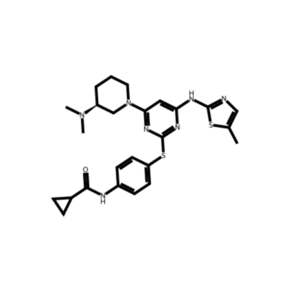 Cc1cnc(Nc2cc(N3CCC[C@H](N(C)C)C3)nc(Sc3ccc(NC(=O)C4CC4)cc3)n2)s1